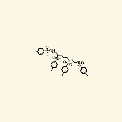 Cc1ccc(S(=O)(=O)NCCN(CCCN(CCNS(=O)(=O)c2ccc(C)cc2)S(=O)(=O)c2ccc(C)cc2)S(=O)(=O)c2ccc(C)cc2)cc1